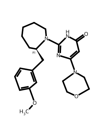 COc1cccc(C[C@H]2CCCCCN2c2nc(N3CCOCC3)cc(=O)[nH]2)c1